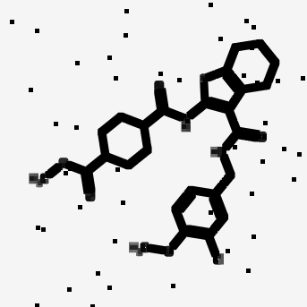 COC(=O)C1CCC(C(=O)Nc2sc3c(c2C(=O)NCc2ccc(OC)c(Cl)c2)CCCC3)CC1